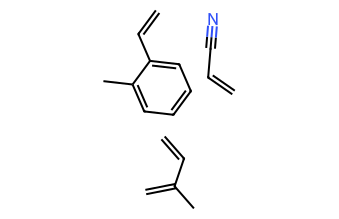 C=CC#N.C=CC(=C)C.C=Cc1ccccc1C